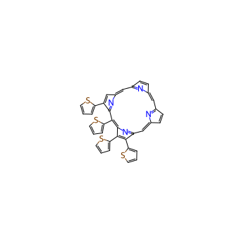 C1=CC2=NC1=CC1=NC(=C(c3cccs3)C3=NC(=CC4=NC(=C2)C=C4)C=C3c2cccs2)C(c2cccs2)=C1c1cccs1